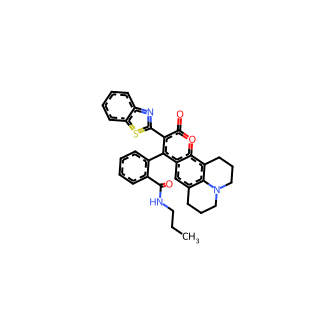 CCCNC(=O)c1ccccc1-c1c(-c2nc3ccccc3s2)c(=O)oc2c3c4c(cc12)CCCN4CCC3